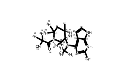 [2H]c1nc(N(C([2H])([2H])[2H])[C@@]2([2H])C([2H])([2H])N(C(=O)C([2H])([2H])[N+]#[C-])C([2H])([2H])C[C@@]2([2H])C)c2cc[nH]c2n1